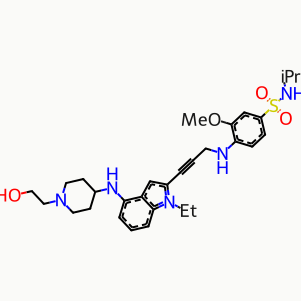 CCn1c(C#CCNc2ccc(S(=O)(=O)NC(C)C)cc2OC)cc2c(NC3CCN(CCO)CC3)cccc21